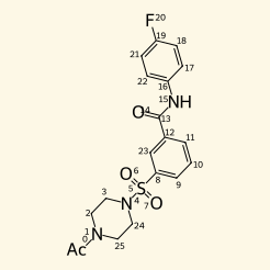 CC(=O)N1CCN(S(=O)(=O)c2cccc(C(=O)Nc3ccc(F)cc3)c2)CC1